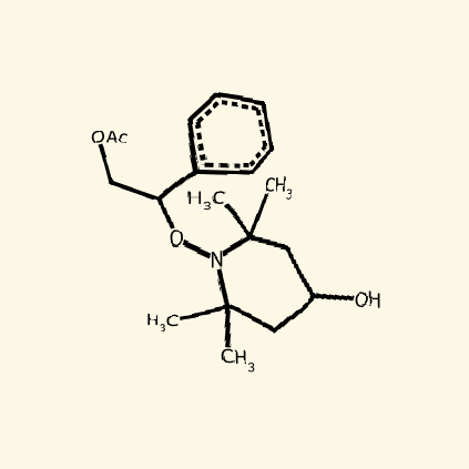 CC(=O)OCC(ON1C(C)(C)CC(O)CC1(C)C)c1ccccc1